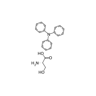 N[C@@H](CO)C(=O)O.c1ccc(N(c2ccccc2)c2ccccc2)cc1